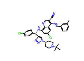 Cc1cccc(CNc2c(C#N)cnc3c(N[C@@H](c4ccc(Cl)cc4)c4cn(C5CCN(C(C)(C)C)CC5)nn4)cc(Cl)cc23)c1